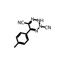 Cc1ccc(C2=NN(C#N)NN=C2C#N)cc1